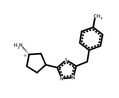 Cc1ccc(Cc2nnc(C3CC[C@H](N)C3)s2)cc1